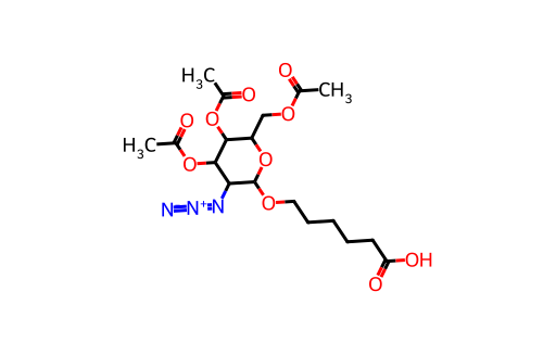 CC(=O)OCC1OC(OCCCCCC(=O)O)C(N=[N+]=[N-])C(OC(C)=O)C1OC(C)=O